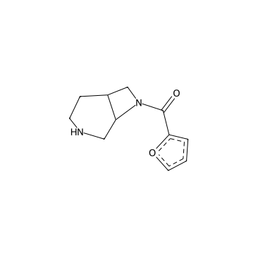 O=C(c1ccco1)N1CC2CCNCC21